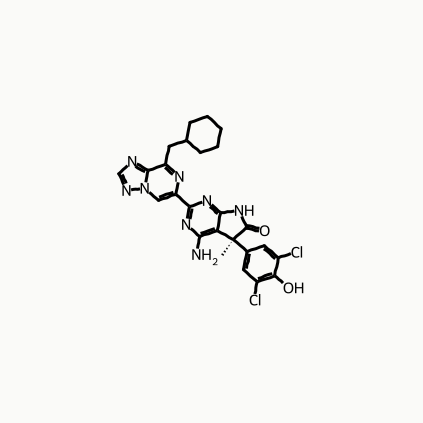 C[C@@]1(c2cc(Cl)c(O)c(Cl)c2)C(=O)Nc2nc(-c3cn4ncnc4c(CC4CCCCC4)n3)nc(N)c21